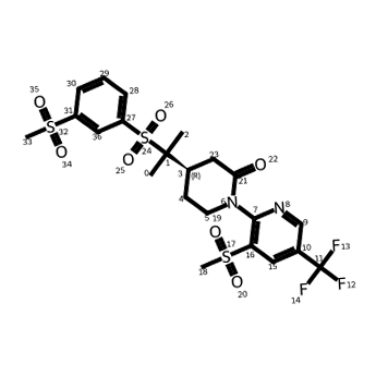 CC(C)([C@@H]1CCN(c2ncc(C(F)(F)F)cc2S(C)(=O)=O)C(=O)C1)S(=O)(=O)c1cccc(S(C)(=O)=O)c1